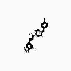 C[C@@H]1CN(C(=O)C=Cc2cc(Cl)c3nonc3c2)[C@@H](C)CN1Cc1ccc(F)cc1